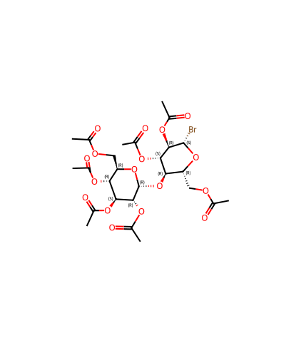 CC(=O)OC[C@H]1O[C@@H](Br)[C@H](OC(C)=O)[C@@H](OC(C)=O)[C@@H]1O[C@H]1O[C@H](COC(C)=O)[C@@H](OC(C)=O)[C@H](OC(C)=O)[C@H]1OC(C)=O